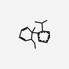 CCC1C=CC=CC1(C)c1ccccc1C(C)C